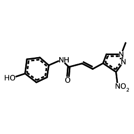 Cn1cc(/C=C/C(=O)Nc2ccc(O)cc2)c([N+](=O)[O-])n1